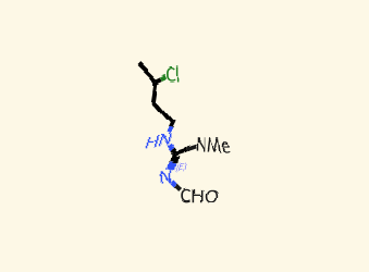 CN/C(=N\C=O)NCCC(C)Cl